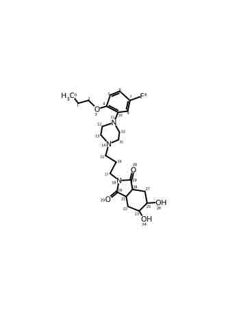 CCCOc1ccc(F)cc1N1CCN(CCCN2C(=O)C3CC(O)C(O)CC3C2=O)CC1